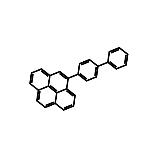 c1ccc(-c2ccc(-c3cc4cccc5ccc6cccc3c6c54)cc2)cc1